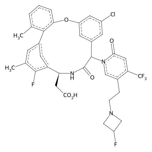 Cc1cc2cc(c1F)[C@H](CC(=O)O)NC(=O)C(n1cc(CCN3CC(F)C3)c(C(F)(F)F)cc1=O)c1cc(Cl)cc(c1)Oc1cccc(C)c1-2